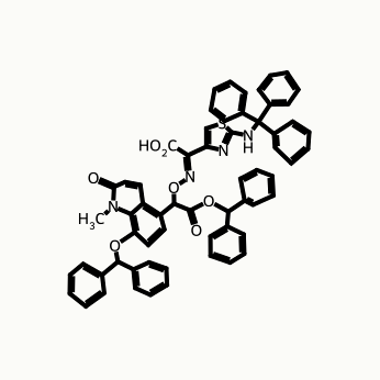 Cn1c(=O)ccc2c(C(O/N=C(\C(=O)O)c3csc(NC(c4ccccc4)(c4ccccc4)c4ccccc4)n3)C(=O)OC(c3ccccc3)c3ccccc3)ccc(OC(c3ccccc3)c3ccccc3)c21